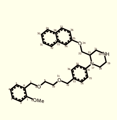 COc1ccccc1COCCOCc1ccc(N2CCNCC2COc2ccc3ccccc3c2)cc1